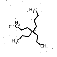 CCCC[N+](CCC)(CCC)CCC.[Cl-]